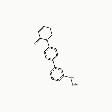 CSNc1cccc(-c2ccc(N3CCC=CC3=O)cc2)c1